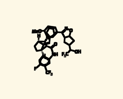 COC1C=CC(C2=NOC3CC(C(O)C(F)(F)F)CC23)=CN1[C@H]1[C@@H](C(=O)Nc2ccc(F)c(C(F)(F)F)c2)[C@H]2CC[C@@H]1/C2=C\C1CCCC1